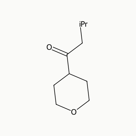 CC(C)CC(=O)C1CCOCC1